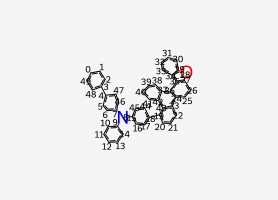 c1ccc(-c2ccc(N(c3ccccc3)c3ccc(-c4cccc5c6ccc7oc8ccccc8c7c6c6ccccc6c45)cc3)cc2)cc1